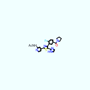 CC(=O)Nc1cc(-c2nc(-c3cc(C(=O)N4CCCC4)ccc3F)c(-c3ncc[nH]3)s2)ccn1